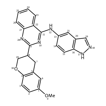 COc1ccc2c(c1)CC(c1nc(Nc3ccc4[nH]ncc4c3)c3ccccc3n1)CO2